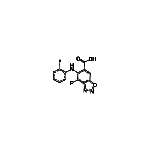 O=C(O)c1cc2onnc2c(F)c1Nc1ccccc1F